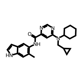 Cc1cc2[nH]ccc2cc1NC(=O)c1cc(N(CC2CC2)C2CCCCC2)ncn1